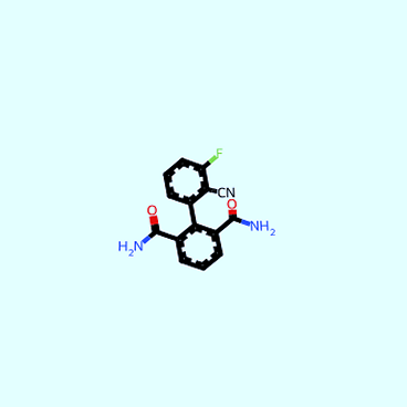 N#Cc1c(F)cccc1-c1c(C(N)=O)cccc1C(N)=O